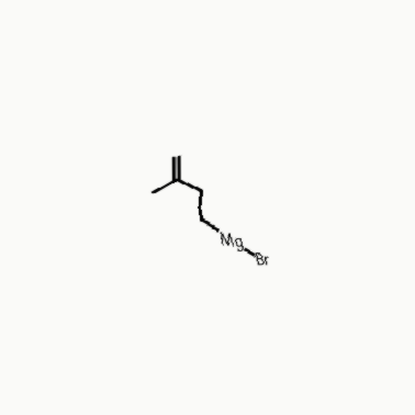 C=C(C)C[CH2][Mg][Br]